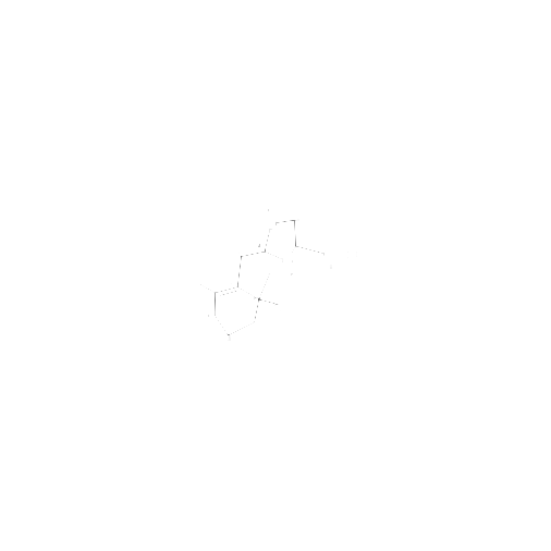 CC1=C(CC2OCC(C=O)O2)C(C)(C)CCC1